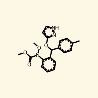 COC(=O)N(OC)c1ccccc1C(Oc1cc[nH]n1)c1ccc(C)cc1